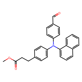 COC(=O)CCc1ccc(N(c2ccc(C=O)cc2)c2cccc3ccccc23)cc1